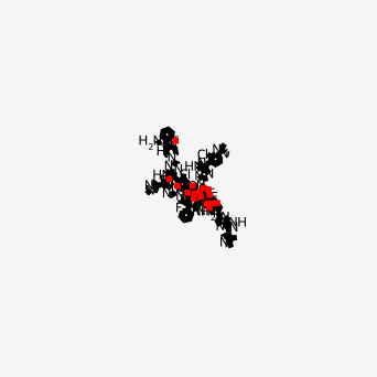 Cc1c(-c2n[nH]c3nc(N4CC[C@@H]5[C@H](C4)[C@]5(c4ccccc4F)C(N)C(NNS(=O)(=O)c4ccc(-c5n[nH]c6nc(N7CC[C@@H]8[C@H](C7)[C@@]8(CN)c7ccccc7F)cnc56)c(Cl)c4)(C(N)[C@]4(c5ccccc5F)[C@@H]5CCN(c6cnc7c(-c8cnn(C)c8)n[nH]c7n6)C[C@@H]54)[C@]4(c5ccccc5F)[C@@H]5CCN(c6cnc7c(-c8ccc9c(nc(C)n9C)c8Cl)n[nH]c7n6)C[C@@H]54)cnc23)cnn1C